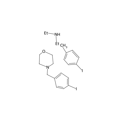 CCNCC.Cc1ccc(I)cc1.Ic1ccc(CN2CCOCC2)cc1